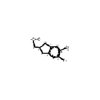 O=CCC1Cc2cc(F)c(Br)cc2C1